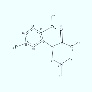 COC(=O)C(CN(C)C)c1cc(F)ccc1OC